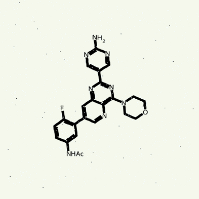 CC(=O)Nc1ccc(F)c(-c2cnc3c(N4CCOCC4)nc(-c4cnc(N)nc4)nc3c2)c1